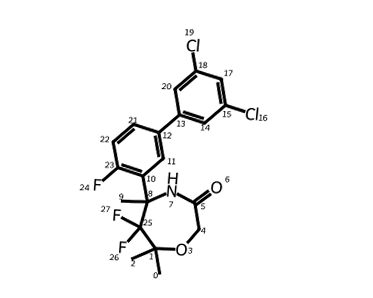 CC1(C)OCC(=O)NC(C)(c2cc(-c3cc(Cl)cc(Cl)c3)ccc2F)C1(F)F